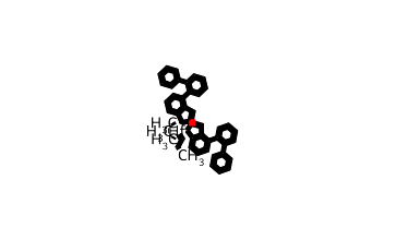 CC[CH]=[Hf]([CH3])([CH3])([CH3])([CH]1C=Cc2c(-c3ccccc3-c3ccccc3)cccc21)[CH]1C=Cc2c(-c3ccccc3-c3ccccc3)cccc21